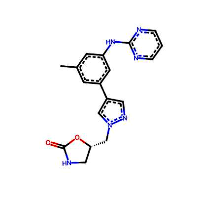 Cc1cc(Nc2ncccn2)cc(-c2cnn(C[C@@H]3CNC(=O)O3)c2)c1